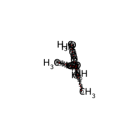 CCCCCCCCCCCCCC(=O)NCCCC[C@@H](NC(=O)CCCCCCCCCCCCC)C(=O)NCCCOCCOCCOCCCNC(C)=O